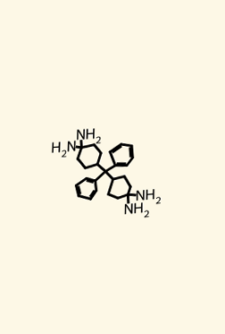 NC1(N)CCC(C(c2ccccc2)(c2ccccc2)C2CCC(N)(N)CC2)CC1